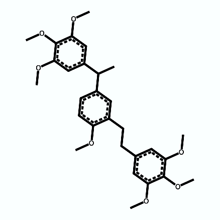 COc1ccc(C(C)c2cc(OC)c(OC)c(OC)c2)cc1CCc1cc(OC)c(OC)c(OC)c1